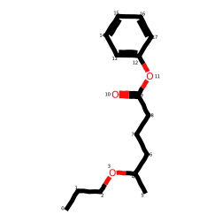 CCCOC(C)CCCC(=O)Oc1ccccc1